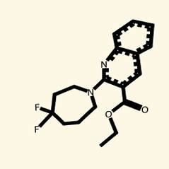 CCOC(=O)c1cc2ccccc2nc1N1CCCC(F)(F)CC1